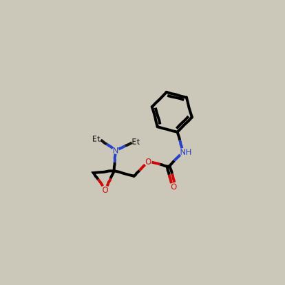 CCN(CC)C1(COC(=O)Nc2ccccc2)CO1